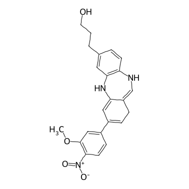 COc1cc(C2=CCC3=CNc4ccc(CCCO)cc4NC3=C2)ccc1[N+](=O)[O-]